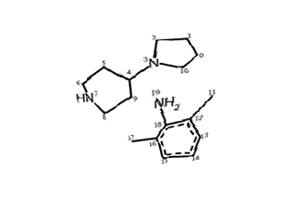 C1CCN(C2CCNCC2)C1.Cc1cccc(C)c1N